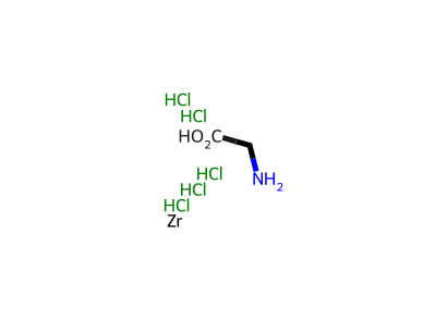 Cl.Cl.Cl.Cl.Cl.NCC(=O)O.[Zr]